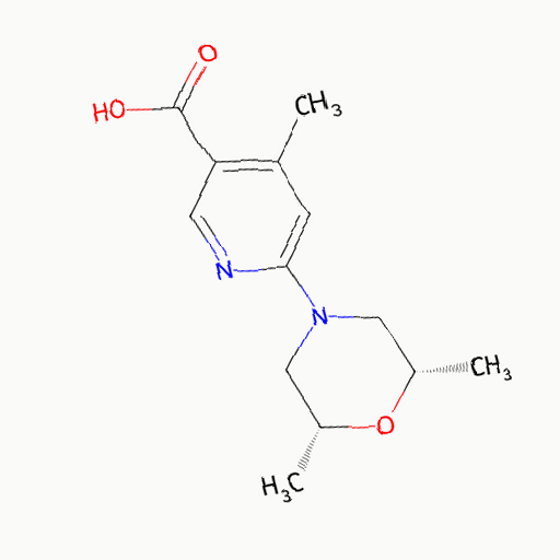 Cc1cc(N2C[C@@H](C)O[C@@H](C)C2)ncc1C(=O)O